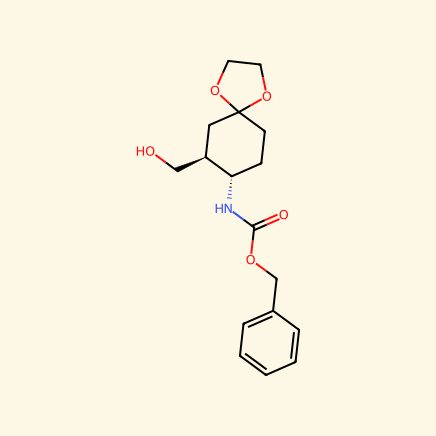 O=C(N[C@H]1CCC2(C[C@@H]1CO)OCCO2)OCc1ccccc1